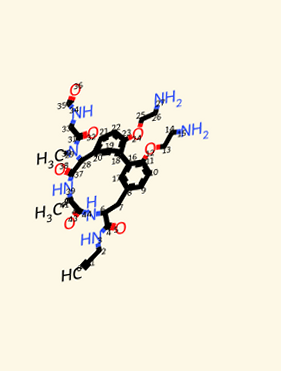 C#CCNC(=O)C1Cc2ccc(OCCN)c(c2)-c2cc(ccc2OCCN)C(N(C)C(=O)CNC=O)C(=O)N[C@@H](C)C(=O)N1